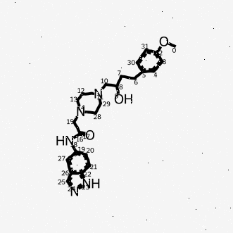 COc1ccc(CCC(O)CN2CCN(CC(=O)Nc3ccc4[nH]ncc4c3)CC2)cc1